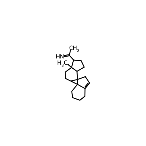 CC(=N)C1CCC2C1(C)CCC1C34CCCCC3=CCC214